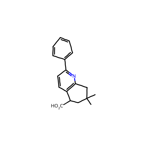 CC1(C)Cc2nc(-c3ccccc3)ccc2C(C(=O)O)C1